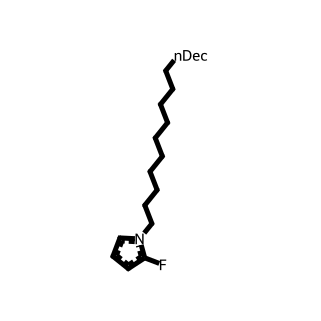 CCCCCCCCCCCCCCCCCCCCn1cccc1F